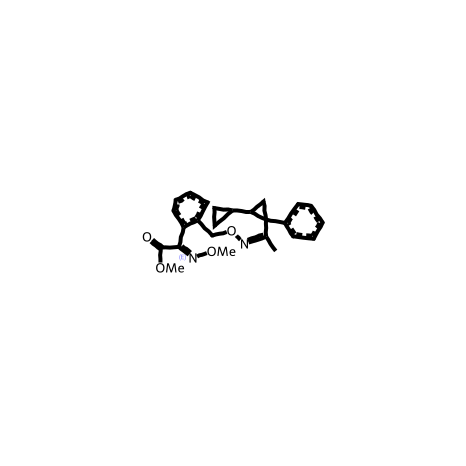 CO/N=C(/C(=O)OC)c1ccccc1CON=C(C)C1(c2ccccc2)CC1C1CC1